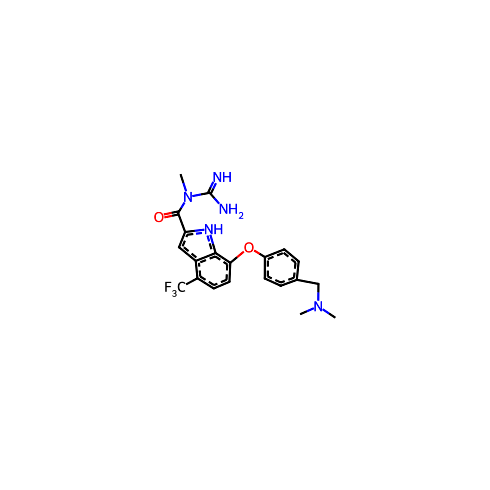 CN(C)Cc1ccc(Oc2ccc(C(F)(F)F)c3cc(C(=O)N(C)C(=N)N)[nH]c23)cc1